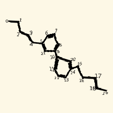 CCCCCc1cccc(-c2cccc(CCCCC)c2)c1